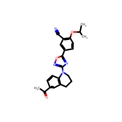 CC(=O)c1ccc2c(c1)CCCN2c1noc(-c2ccc(OC(C)C)c(C#N)c2)n1